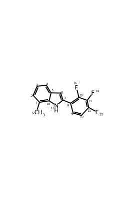 Cc1cccc2cc(-c3ccc(F)c(F)c3F)[nH]c12